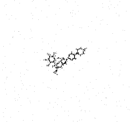 CN1CCN(c2ccc(-n3cc(CN(C4CC4)S(=O)(=O)c4c(F)c(F)c(F)c(F)c4F)cn3)nc2)CC1